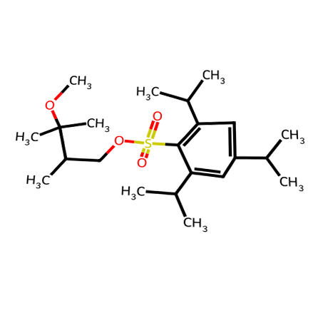 COC(C)(C)C(C)COS(=O)(=O)c1c(C(C)C)cc(C(C)C)cc1C(C)C